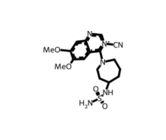 COc1cc2nc[n+](C#N)c(N3CCCC(NS(N)(=O)=O)CC3)c2cc1OC